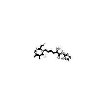 CC1=C(C)C(=O)N(CC=CCC(N)C(=O)Nc2nnn[nH]2)C(CF)=NO1